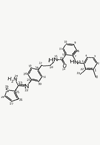 Cc1cccc(Nc2ccccc2C(=O)NCCc2ccc(/N=C(\N)c3cccs3)cc2)c1C